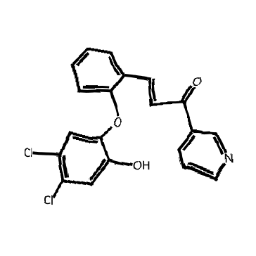 O=C(C=Cc1ccccc1Oc1cc(Cl)c(Cl)cc1O)c1cccnc1